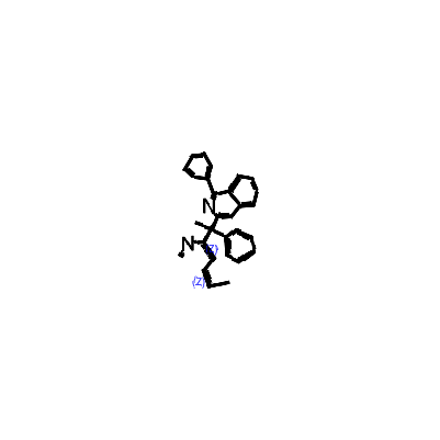 C=N/C(=C\C=C/C)C(C)(c1ccccc1)c1cc2ccccc2c(-c2ccccc2)n1